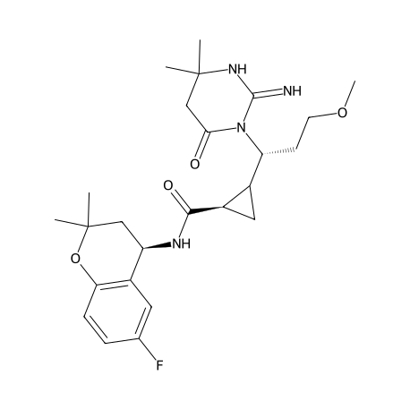 COCC[C@H](C1C[C@H]1C(=O)N[C@@H]1CC(C)(C)Oc2ccc(F)cc21)N1C(=N)NC(C)(C)CC1=O